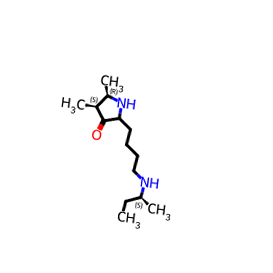 CC[C@H](C)NCCCCC1N[C@H](C)[C@H](C)C1=O